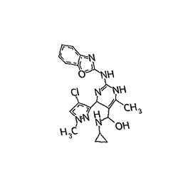 CC1=C(C(O)NC2CC2)C(c2nn(C)cc2Cl)N=C(Nc2nc3ccccc3o2)N1